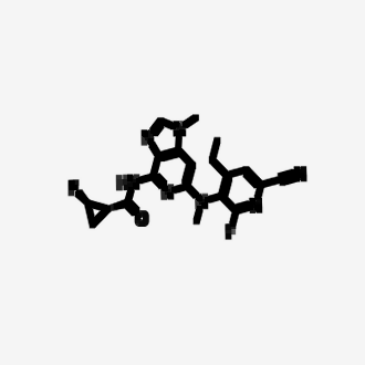 CCc1cc(C#N)nc(F)c1N(C)c1cc2c(ncn2C)c(NC(=O)[C@H]2C[C@H]2F)n1